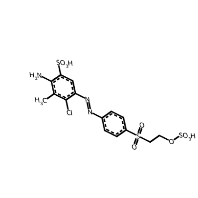 Cc1c(N)c(S(=O)(=O)O)cc(N=Nc2ccc(S(=O)(=O)CCOS(=O)(=O)O)cc2)c1Cl